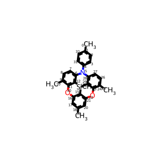 Cc1ccc(N2c3ccc(C)c4c3[Si]3(C)c5c(cc(C)cc5Oc5c(C)ccc2c53)O4)cc1